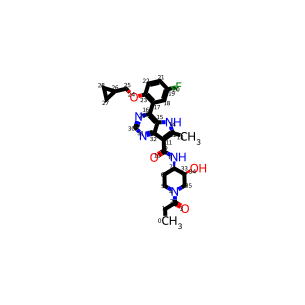 CCC(=O)N1CC[C@@H](NC(=O)c2c(C)[nH]c3c(-c4cc(F)ccc4OCC4CC4)ncnc23)[C@@H](O)C1